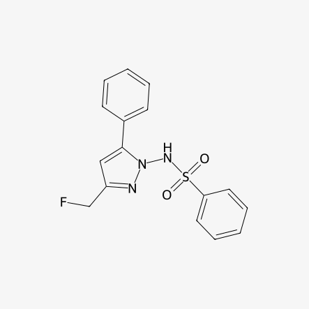 O=S(=O)(Nn1nc(CF)cc1-c1ccccc1)c1ccccc1